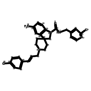 O=C(NCc1ccnc(Cl)c1)N1CC2(CCN(CC=Cc3ccc(Cl)cc3)CC2)c2cc(C(F)(F)F)ccc21